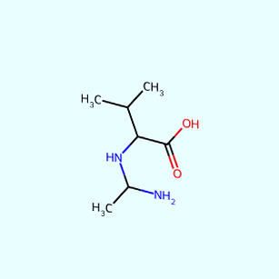 CC(N)NC(C(=O)O)C(C)C